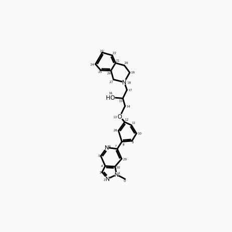 Cn1ncc2cnc(-c3cccc(OCC(O)CN4CCc5ccccc5C4)c3)cc21